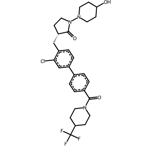 O=C(c1ccc(-c2ccc(C[C@@H]3CCN(N4CCC(O)CC4)C3=O)c(Cl)c2)cc1)N1CCC(C(F)(F)F)CC1